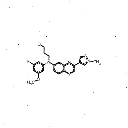 COc1cc(F)cc(N(CCCO)c2ccc3ncc(-c4cnn(C)c4)nc3c2)c1